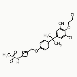 CC(C)(c1ccc(OCC23CC(NS(C)(=O)=O)(C2)C3)cc1)c1cc(Cl)c(OCCCl)c(C#N)c1